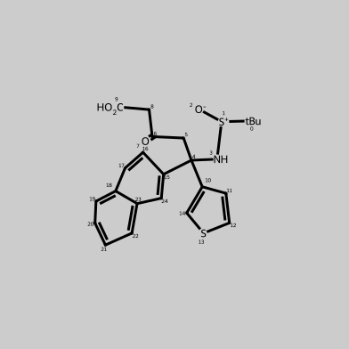 CC(C)(C)[S+]([O-])NC(CC(=O)CC(=O)O)(c1ccsc1)c1ccc2ccccc2c1